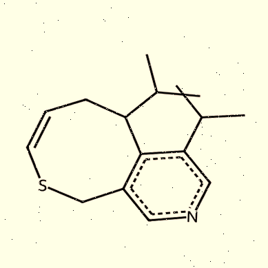 CC(C)c1cncc2c1C(C(C)C)C/C=C\SC2